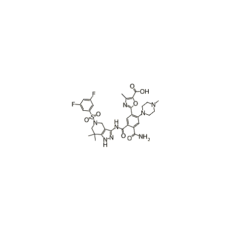 Cc1nc(-c2cc(C(=O)Nc3n[nH]c4c3CN(S(=O)(=O)c3cc(F)cc(F)c3)CC4(C)C)c(C(N)=O)cc2N2CCN(C)CC2)oc1C(=O)O